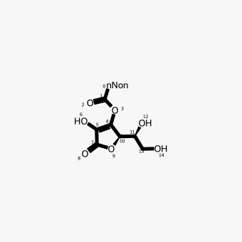 CCCCCCCCCC(=O)OC1=C(O)C(=O)O[C@@H]1[C@@H](O)CO